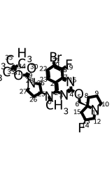 CN(c1nc(OC[C@@]23CCCN2C[C@H](F)C3)nc2c(F)c(Br)ccc12)[C@H]1CCN(C(=O)OC(C)(C)C)C1